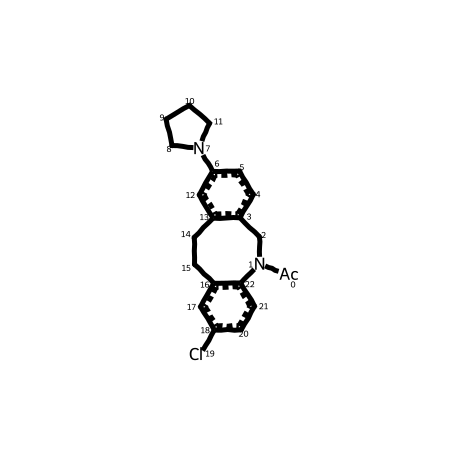 CC(=O)N1Cc2ccc(N3CCCC3)cc2CCc2cc(Cl)ccc21